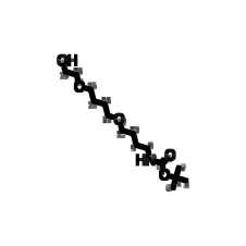 CC(C)(C)OC(=O)NCCCCOCCCCOCCO